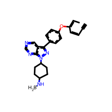 BNC1CCC(n2nc(-c3ccc(OC(/C=C\C#C)=C/C)cc3)c3cncnc32)CC1